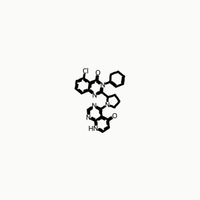 O=c1cc[nH]c2ncnc(N3CCCC3c3nc4cccc(Cl)c4c(=O)n3C3=CC=CCC3)c12